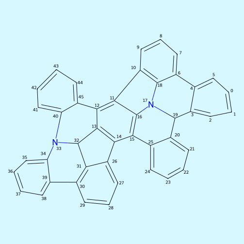 c1ccc2c(c1)-c1cccc3c4c5c6c(c7c4n(c13)C2c1ccccc1-7)-c1cccc2c1C6N(c1ccccc1-2)c1ccccc1-5